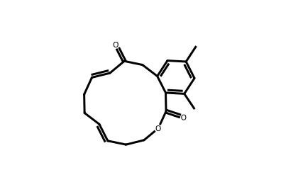 Cc1cc(C)c2c(c1)CC(=O)/C=C/CC/C=C/CCOC2=O